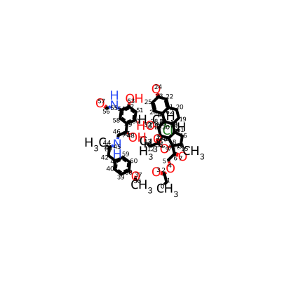 CCC(=O)OCC(=O)[C@@]1(OC(=O)CC)[C@@H](C)C[C@H]2[C@@H]3CCC4=CC(=O)C=C[C@]4(C)[C@@]3(Cl)[C@@H](O)C[C@@]21C.COc1ccc(C[C@@H](C)NC[C@H](O)c2ccc(O)c(NC=O)c2)cc1